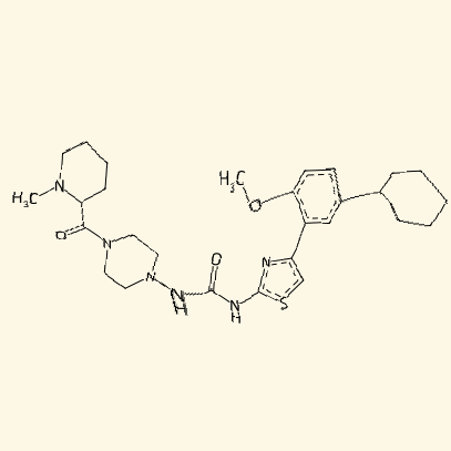 COc1ccc(C2CCCCC2)cc1-c1csc(NC(=O)NN2CCN(C(=O)C3CCCCN3C)CC2)n1